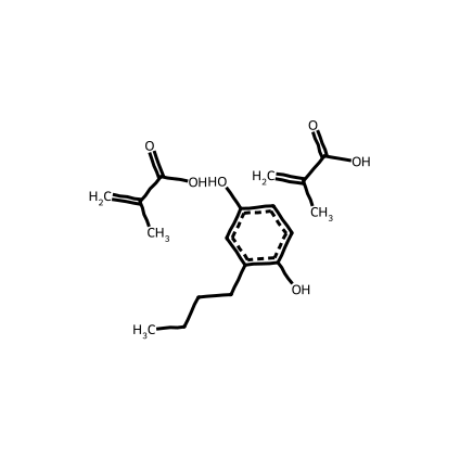 C=C(C)C(=O)O.C=C(C)C(=O)O.CCCCc1cc(O)ccc1O